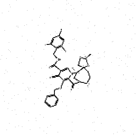 C[C@@H]1OC[C@]2(CC[C@H](C)N3C[C@H]2n2cc(C(=O)NCc4c(F)cc(F)cc4F)c(=O)c(OCc4ccccc4)c2C3=O)O1